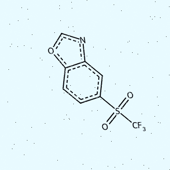 O=S(=O)(c1ccc2ocnc2c1)C(F)(F)F